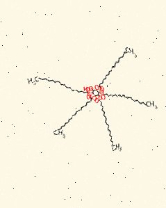 CCCCCCCCCCCCCCCCCC(=O)OC1C(O)C(OC(=O)CCCCCCCCCCCCCCCCC)C(OC(=O)CCCCCCCCCCCCCCCCC)C(OC(=O)CCCCCCCCCCCCCCCCC)C1OC(=O)CCCCCCCCCCCCCCCCC